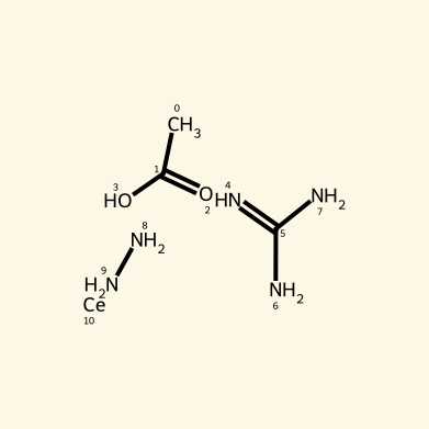 CC(=O)O.N=C(N)N.NN.[Ce]